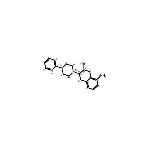 Nc1cccc2c1C[C@@H](O)[C@H](N1CCN(c3ccccn3)CC1)C2